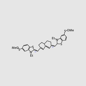 CCN1/C(=C/C2=CC3=C/C(=C/C4Sc5ccc(SOC)cc5N4CC)CCC3CC2)Sc2ccc(SOC)cc21